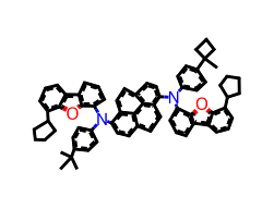 CC(C)(C)c1ccc(N(c2ccc3ccc4c(N(c5ccc(C6(C)CCC6)cc5)c5cccc6c5oc5c(C7CCCC7)cccc56)ccc5ccc2c3c54)c2cccc3c2oc2c(C4CCCC4)cccc23)cc1